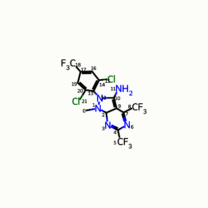 CN1C2N=C(C(F)(F)F)N=C(C(F)(F)F)C2=C(N)N1c1c(Cl)cc(C(F)(F)F)cc1Cl